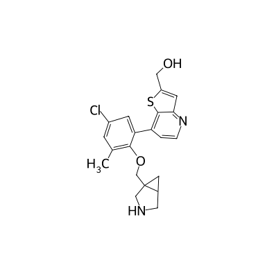 Cc1cc(Cl)cc(-c2ccnc3cc(CO)sc23)c1OCC12CNCC1C2